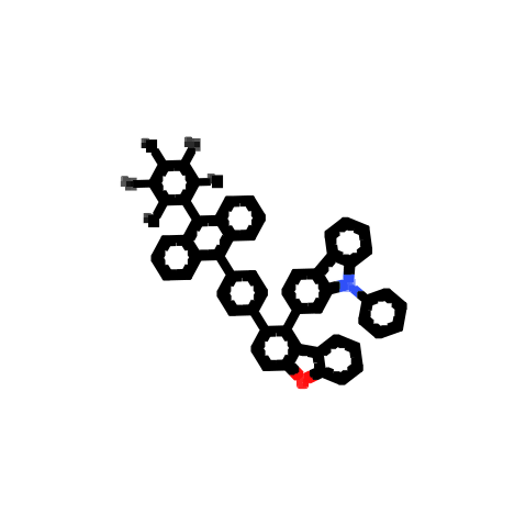 [2H]c1c([2H])c([2H])c(-c2c3ccccc3c(-c3ccc(-c4ccc5oc6ccccc6c5c4-c4ccc5c6ccccc6n(-c6ccccc6)c5c4)cc3)c3ccccc23)c([2H])c1[2H]